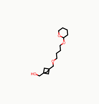 OCC12CC(COCCCCOC3CCCCO3)(C1)C2